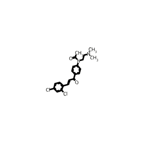 CC(=O)N(CCN(C)C)c1ccc(C(=O)/C=C/c2ccc(Cl)cc2Cl)cc1